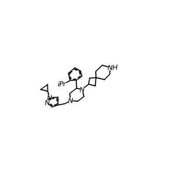 CC(C)c1ccccc1C1CN(Cc2cnn(C3CC3)c2)CCN1C1CC2(CCNCC2)C1